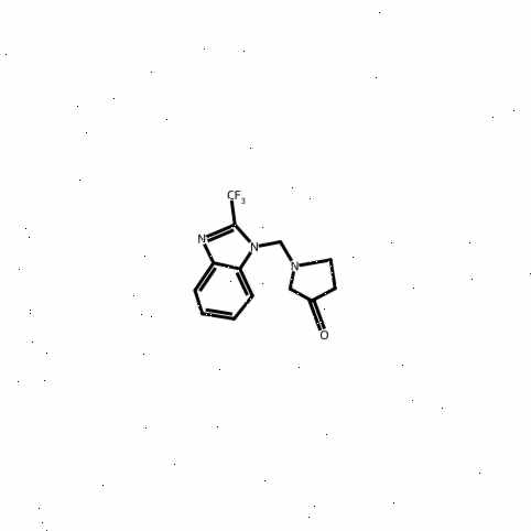 O=C1CCN(Cn2c(C(F)(F)F)nc3ccccc32)C1